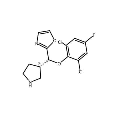 Fc1cc(Cl)c(OC(c2ncco2)[C@H]2CCNC2)c(Cl)c1